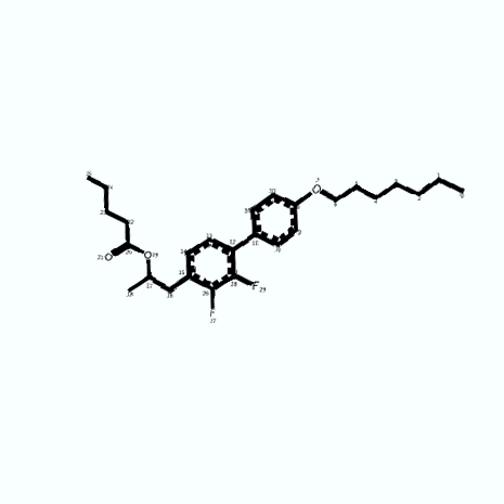 CCCCCCCOc1ccc(-c2ccc(CC(C)OC(=O)CCCC)c(F)c2F)cc1